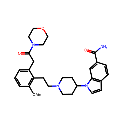 COc1cccc(CC(=O)N2CCOCC2)c1CCN1CCC(n2ccc3ccc(C(N)=O)cc32)CC1